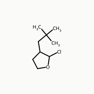 CC(C)(C)CC1CCOC1Cl